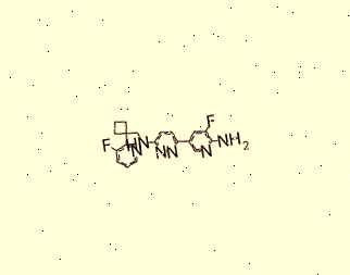 Nc1ncc(-c2ccc(NCC3(c4ncccc4F)CCC3)nn2)cc1F